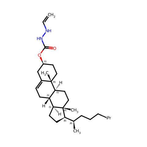 C=CNNC(=O)O[C@H]1CC[C@@]2(C)C(=CC[C@H]3[C@@H]4CC[C@H]([C@H](C)CCCC(C)C)[C@@]4(C)CC[C@@H]32)C1